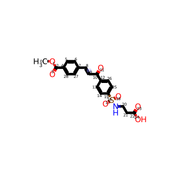 COC(=O)c1ccc(/C=C/C(=O)c2ccc(S(=O)(=O)NCCC(=O)O)cc2)cc1